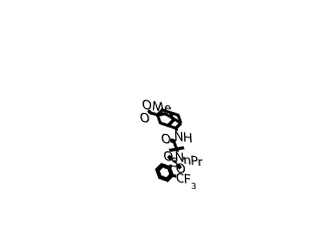 CCCN(C(C)(C)C(=O)NC1C2CC3CC1CC(C(=O)OC)(C3)C2)S(=O)(=O)c1ccccc1C(F)(F)F